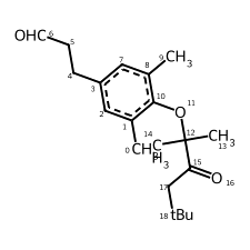 Cc1cc(CCC=O)cc(C)c1OC(C)(C)C(=O)CC(C)(C)C